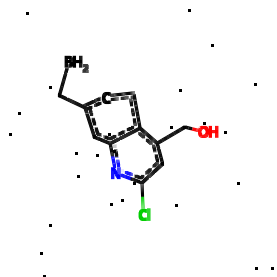 BCc1ccc2c(CO)cc(Cl)nc2c1